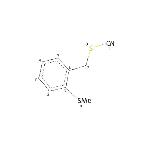 CSc1ccccc1CSC#N